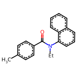 CCN(C(=O)c1ccc(C)cc1)c1cccc2ccccc12